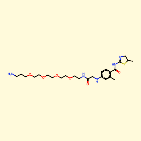 Cc1cc(NCC(=O)NCCOCCOCCOCCOCCCN)ccc1C(=O)NC1=NCC(C)S1